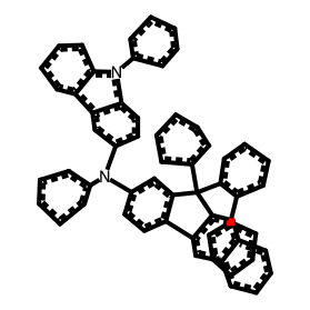 c1ccc(-c2ccccc2C2(c3ccccc3)c3cc(N(c4ccccc4)c4ccc5c(c4)c4ccccc4n5-c4ccccc4)ccc3-c3cc4ccccc4cc32)cc1